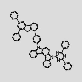 c1ccc(-c2cc(-c3ccccc3)c3c(c2)-c2cccc(-c4ccc(-n5c6ccccc6c6c7c8ccccc8n(-c8nc(-c9ccccc9)nc(-c9ccccc9)n8)c7ccc65)cc4)c2C3)cc1